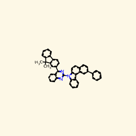 CC1(C)c2ccccc2-c2ccc(-c3nc(-n4c5ccccc5c5c6cc(-c7ccccc7)ccc6ccc54)nc4ccccc34)cc21